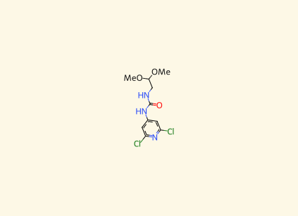 COC(CNC(=O)Nc1cc(Cl)nc(Cl)c1)OC